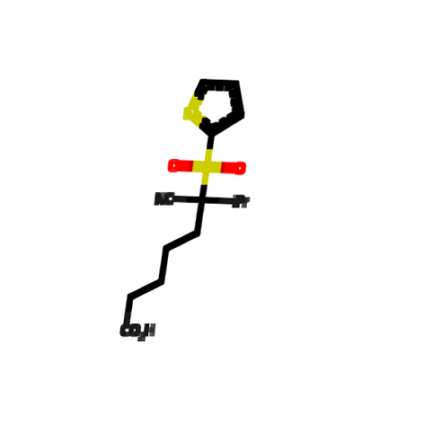 CC(C)C(C#N)(CCCCC(=O)O)S(=O)(=O)c1cccs1